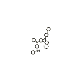 C1=CCc2ccc3c(c2C=C1)c1cc(N(c2ccccc2)c2ccc(Nc4ccccc4)cc2)ccc1n3-c1ccc(-c2ccccc2)cc1